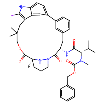 CC(C)[C@@H](C(=O)N[C@H]1Cc2cccc(c2)-c2ccc3[nH]c(I)c(c3c2)CC(C)(C)COC(=O)[C@@H]2CCCN(N2)C1=O)N(C)C(=O)OCc1ccccc1